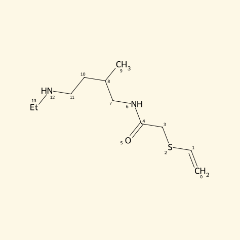 C=CSCC(=O)NCC(C)CCNCC